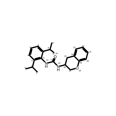 CC(C)c1cccc(C(C)C)c1NC(=O)NC1COc2ccccc2C1